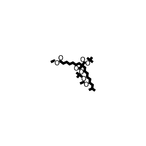 CCOC(=O)CCCCCCC(CCCC(CCCC(C)C)OC(C)=O)(C(=O)OC(C)(C)C)C(=O)OC(C)(C)C